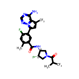 Cc1cc(F)c(-c2cc(C(F)(F)F)c3c(N)ncnn23)cc1C(=O)N[C@@H]1CN(C(=O)C(C)C(F)(F)F)C[C@@H]1F